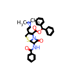 CN(C)C=CC1=C(C(=O)OC(c2ccccc2)c2ccccc2)N2C(=O)C(NC(=O)c3ccccc3)C2SC1